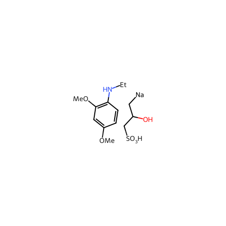 CCNc1ccc(OC)cc1OC.O=S(=O)(O)CC(O)[CH2][Na]